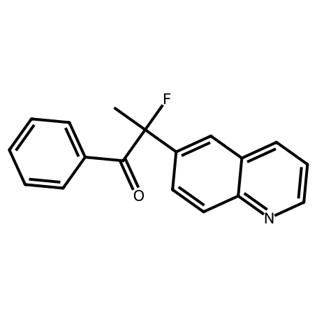 CC(F)(C(=O)c1ccccc1)c1ccc2ncccc2c1